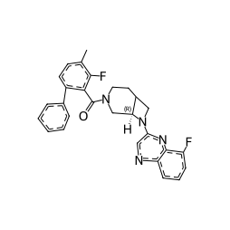 Cc1ccc(-c2ccccc2)c(C(=O)N2CCC3CN(c4cnc5cccc(F)c5n4)[C@H]3C2)c1F